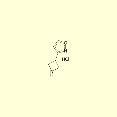 Cl.c1cc(C2CNC2)no1